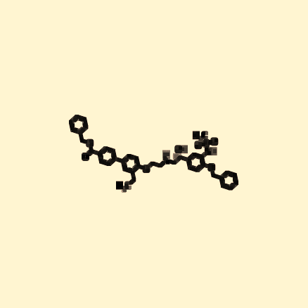 CCc1cc(-c2ccc(C(=O)OCc3ccccc3)cc2)ccc1OCCNC[C@H](O)c1ccc(OCc2ccccc2)c(NS(C)(=O)=O)c1